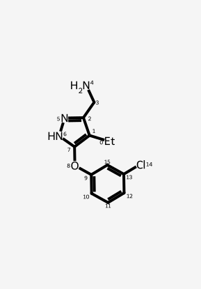 CCc1c(CN)n[nH]c1Oc1cccc(Cl)c1